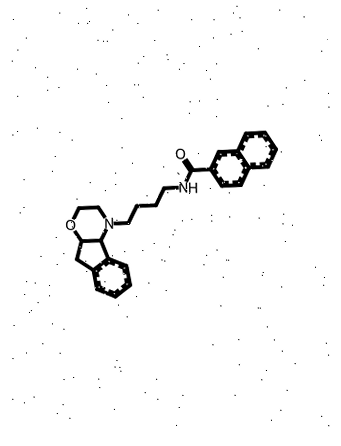 O=C(NCCCCN1CCOC2Cc3ccccc3C21)c1ccc2ccccc2c1